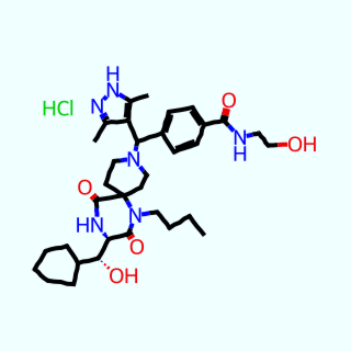 CCCCN1C(=O)[C@@H]([C@H](O)C2CCCCC2)NC(=O)C12CCN(C(c1ccc(C(=O)NCCO)cc1)c1c(C)n[nH]c1C)CC2.Cl